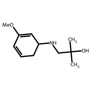 COC1=CC(NCC(C)(C)O)CC=C1